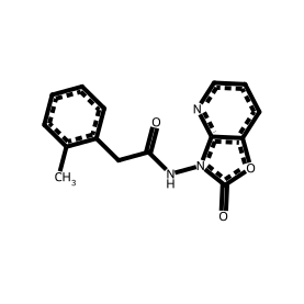 Cc1ccccc1CC(=O)Nn1c(=O)oc2cccnc21